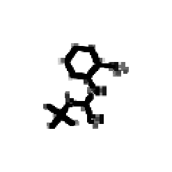 CC(C)(C)OC(O)N[C@H]1CCCC[C@H]1N